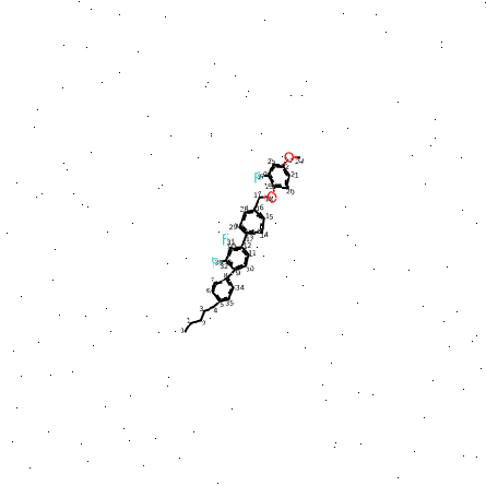 CCCCCc1ccc(-c2ccc(-c3ccc(COc4ccc(OC)cc4F)cc3)c(F)c2F)cc1